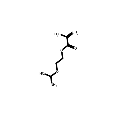 C=C(C)C(=O)OCCOC(N)O